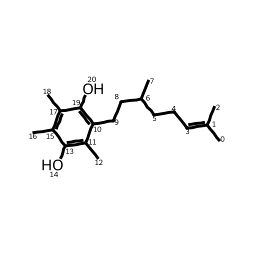 CC(C)=CCCC(C)CCc1c(C)c(O)c(C)c(C)c1O